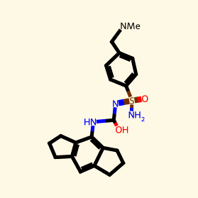 CNCc1ccc(S(N)(=O)=NC(O)Nc2c3c(cc4c2CCC4)CCC3)cc1